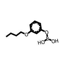 CCCCOc1cccc(OB(O)O)c1